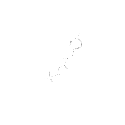 CS(=O)(=O)NCC(=O)NCc1ccc(Cl)cc1